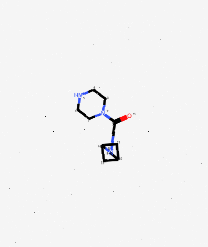 O=C(N1CCNCC1)N1CC2CC1C2